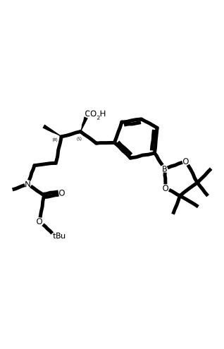 C[C@H](CCN(C)C(=O)OC(C)(C)C)[C@H](Cc1cccc(B2OC(C)(C)C(C)(C)O2)c1)C(=O)O